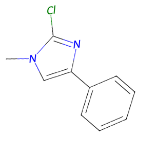 Cn1cc(-c2ccccc2)nc1Cl